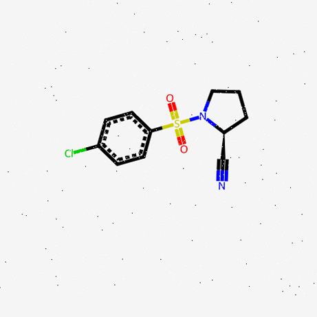 N#C[C@@H]1CCCN1S(=O)(=O)c1ccc(Cl)cc1